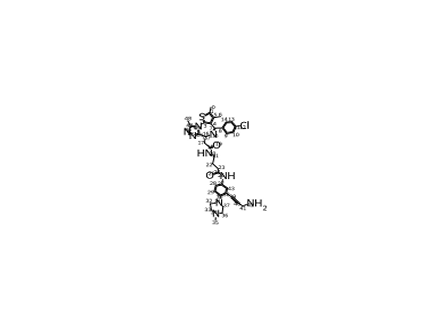 Cc1sc2c(c1C)C(c1ccc(Cl)cc1)=N[C@@H](CC(=O)NCCCC(=O)Nc1ccc(N3CCN(C)CC3)c(C#CCN)c1)c1nnc(C)n1-2